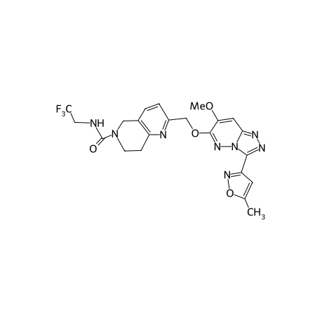 COc1cc2nnc(-c3cc(C)on3)n2nc1OCc1ccc2c(n1)CCN(C(=O)NCC(F)(F)F)C2